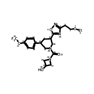 CCOCCc1noc(C2CC(c3ccc(OC(F)(F)F)cc3)CN(C(=O)N3CC(O)C3)C2)n1